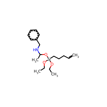 C=CCCC[Si](OCC)(OCC)OC(C)NCc1ccccc1